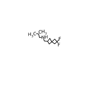 CC(C)CNCC1CC2(C1)CC(F)(F)C2